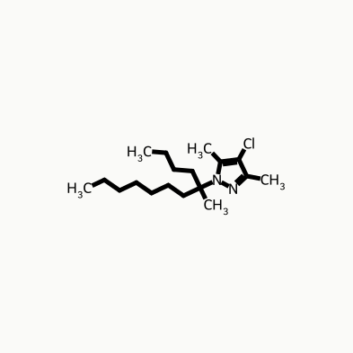 CCCCCCCC(C)(CCCC)n1nc(C)c(Cl)c1C